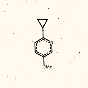 COc1ccc(C2CC2)nc1